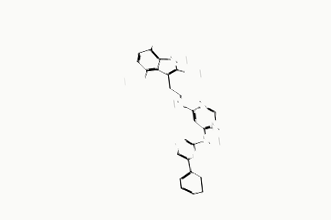 Cc1[nH]c2c(F)ccc(C)c2c1CCNc1cc(NC2=COC=C(C3=CC=CCC3)O2)ncn1